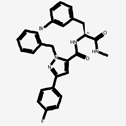 CNC(=O)[C@H](Cc1cccc(Br)c1)NC(=O)c1cc(-c2ccc(F)cc2)nn1Cc1ccccc1